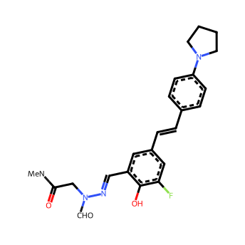 CNC(=O)CN(C=O)/N=C/c1cc(/C=C/c2ccc(N3CCCC3)cc2)cc(F)c1O